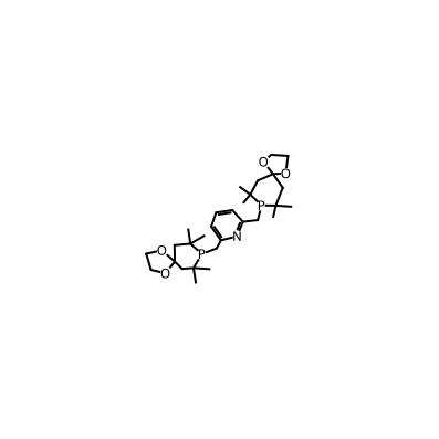 CC1(C)CC2(CC(C)(C)P1Cc1cccc(CP3C(C)(C)CC4(CC3(C)C)OCCO4)n1)OCCO2